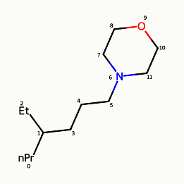 CCCC(CC)CCCN1CCOCC1